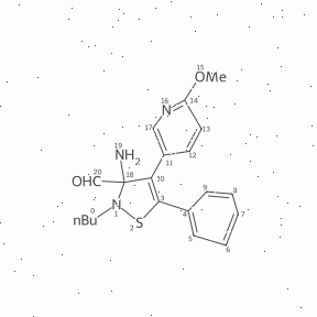 CCCCN1SC(c2ccccc2)=C(c2ccc(OC)nc2)C1(N)C=O